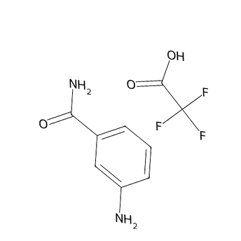 NC(=O)c1cccc(N)c1.O=C(O)C(F)(F)F